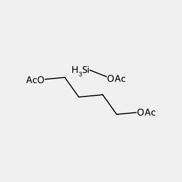 CC(=O)OCCCCOC(C)=O.CC(=O)O[SiH3]